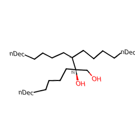 CCCCCCCCCCCCCC[C](CCCCCCCCCCCCCC)[C@](O)(CO)CCCCCCCCCCCCCC